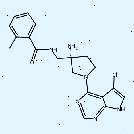 Cc1ccccc1C(=O)NC[C@@]1(N)CCN(c2ncnc3[nH]cc(Cl)c23)C1